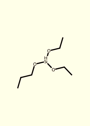 CCCO[SiH](OCC)OCC